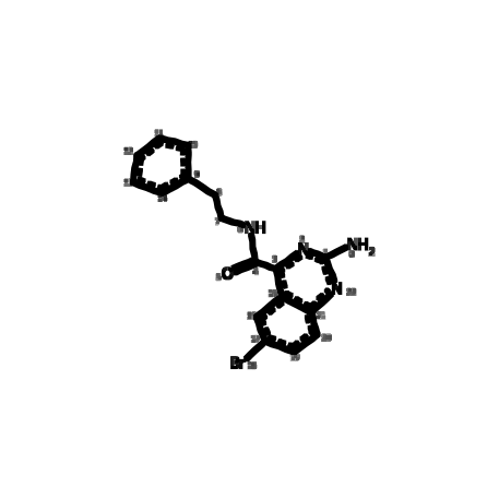 Nc1nc(C(=O)NCCc2ccccc2)c2cc(Br)ccc2n1